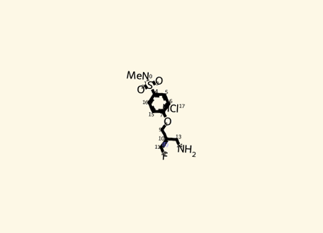 CNS(=O)(=O)c1ccc(OC/C(=C/F)CN)cc1.Cl